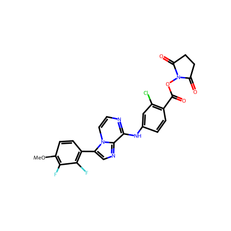 COc1ccc(-c2cnc3c(Nc4ccc(C(=O)ON5C(=O)CCC5=O)c(Cl)c4)nccn23)c(F)c1F